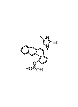 CCc1nc(C)cn1C.OB(O)Oc1cccc2ccc3cc4ccccc4cc3c12